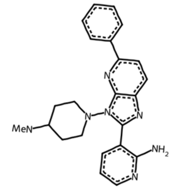 CNC1CCN(n2c(-c3cccnc3N)nc3ccc(-c4ccccc4)nc32)CC1